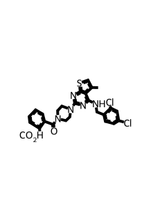 Cc1csc2nc(N3CCN(C(=O)c4ccccc4C(=O)O)CC3)nc(NCc3ccc(Cl)cc3Cl)c12